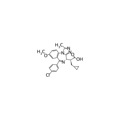 COc1ccc2c(c1)C(c1ccc(Cl)cc1)=N[C@@H]([C@H](CC1CC1)C(=O)O)c1nnc(C)n1-2